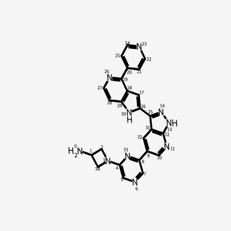 NC1CN(c2cncc(-c3cnc4[nH]nc(-c5cc6c(-c7ccncc7)nccc6[nH]5)c4c3)n2)C1